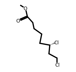 COC(=O)CCCC[C@H](Cl)CCCl